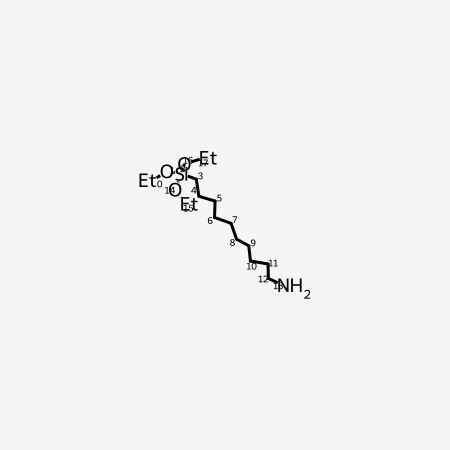 CCO[Si](CCCCCCCCCCN)(OCC)OCC